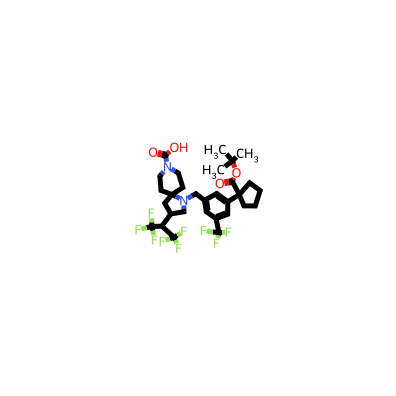 CC(C)(C)OC(=O)C1(c2cc(CN3CC(C(C(F)(F)F)C(F)(F)F)CC34CCN(C(=O)O)CC4)cc(C(F)(F)F)c2)CCCC1